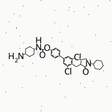 NC1CCC(NC(=O)Oc2ccc(-c3cc(Cl)c(CC4CCN(C5CCCCC5)C4=O)c(Cl)c3)cc2)CC1